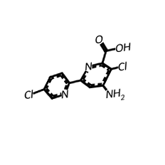 Nc1cc(-c2ccc(Cl)cn2)nc(C(=O)O)c1Cl